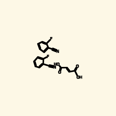 N#Cc1ccccc1F.N#Cc1ccccc1F.O=C(O)/C=C/C(=O)O